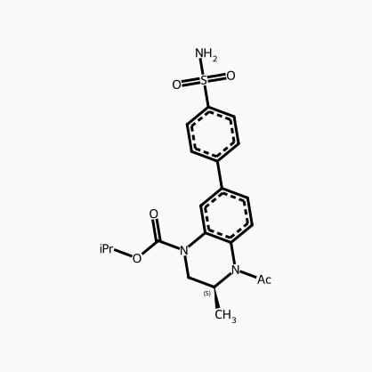 CC(=O)N1c2ccc(-c3ccc(S(N)(=O)=O)cc3)cc2N(C(=O)OC(C)C)C[C@@H]1C